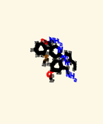 CCC1=N[N+](C2=NCC(C(N)=O)(c3ccccc3SC)C=C2)(c2ccc(OC)cc2CN)C=C1